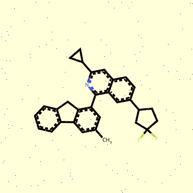 Cc1cc2c(c(-c3nc(C4CC4)cc4ccc(C5CCC(F)(F)C5)cc34)c1)Cc1ccccc1-2